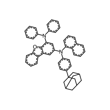 c1ccc(N(c2ccccc2)c2cc(N(c3ccc(C45CC6CC(CC(C6)C4)C5)cc3)c3cccc4ccccc34)cc3c2oc2ccccc23)cc1